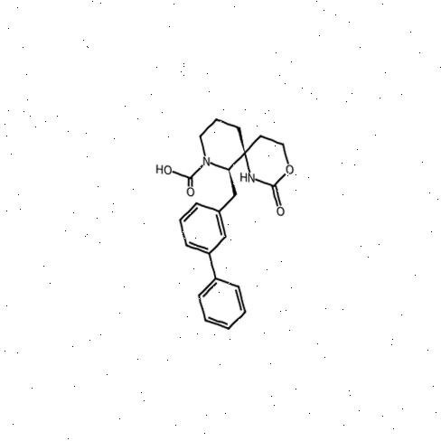 O=C1N[C@@]2(CCCN(C(=O)O)[C@@H]2Cc2cccc(-c3ccccc3)c2)CCO1